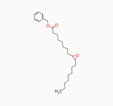 CCCCCCCCC1OC1CCCCCCCC(=O)OCc1ccccc1